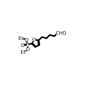 CCOP(=O)(OCC)c1ccc(CCCCC=O)o1